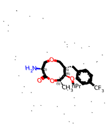 CCCO[C@@H]1[C@@H](Cc2ccc(C(F)(F)F)cc2)COC[C@H](N)C(=O)O[C@H]1C